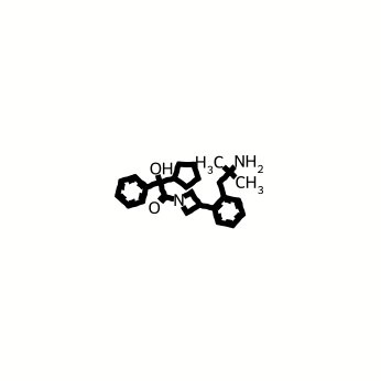 CC(C)(N)Cc1ccccc1C1CN(C(=O)C(O)(c2ccccc2)C2CCCC2)C1